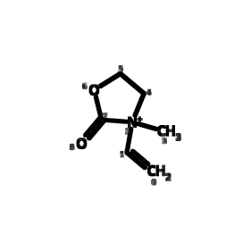 C=C[N+]1(C)CCOC1=O